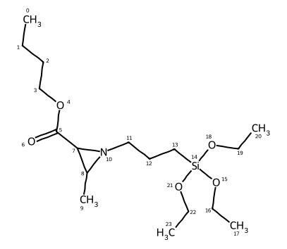 CCCCOC(=O)C1C(C)N1CCC[Si](OCC)(OCC)OCC